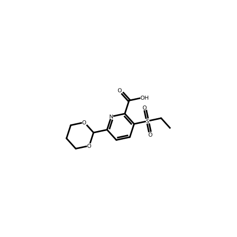 CCS(=O)(=O)c1ccc(C2OCCCO2)nc1C(=O)O